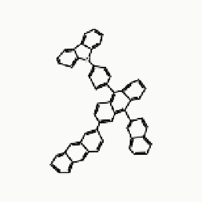 c1ccc2cc(-c3c4ccccc4c(-c4ccc(-n5c6ccccc6c6ccccc65)cc4)c4ccc(-c5ccc6cc7ccccc7cc6c5)cc34)ccc2c1